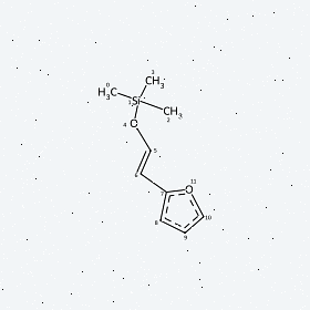 C[Si](C)(C)OC=Cc1ccco1